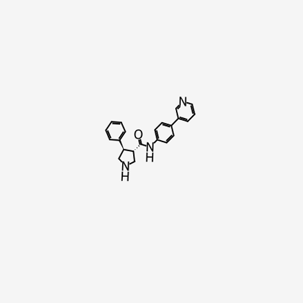 O=C(Nc1ccc(-c2cccnc2)cc1)[C@@H]1CNC[C@H]1c1ccccc1